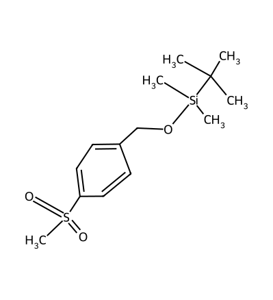 CC(C)(C)[Si](C)(C)OCc1ccc(S(C)(=O)=O)cc1